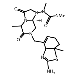 CNC(=O)N(C)N1CC(=O)N2C(C)C(=O)N(CC3=CCCC4(C)SC(N)=NC34)C[C@@H]21